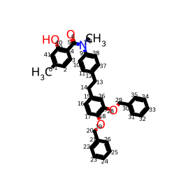 Cc1ccc(C(=O)N(C)c2ccc(CCc3ccc(OCc4ccccc4)c(OCc4ccccc4)c3)cc2)c(O)c1